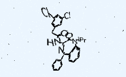 CC(C)N1C(=O)[C@H](NC(=O)Cc2cc(Cl)cc(Cl)c2)N=C(c2ccccc2)c2ccccc21